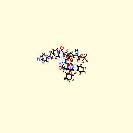 CC(C)C[C@@H](NC(=O)[C@@H](Cc1ccccc1)NC(=O)[C@@H](Cc1ccccc1)NC(=O)OC(C)(C)C)C(=O)N[C@H](CCCCNC(=O)OC(C)(C)C)C(=O)N1CCC2(CC1)CC(N1CCNCC1)C2